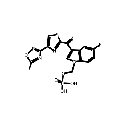 Cc1nc(-c2csc(C(=O)c3cn(COP(=O)(O)O)c4ccc(F)cc34)n2)no1